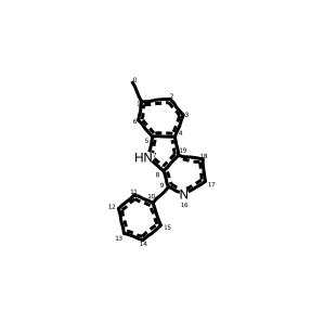 Cc1ccc2c(c1)[nH]c1c(-c3ccccc3)nccc12